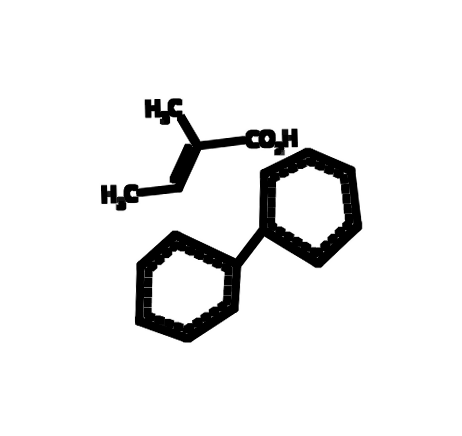 CC=C(C)C(=O)O.c1ccc(-c2ccccc2)cc1